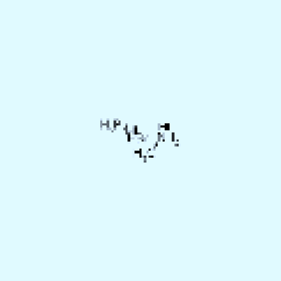 Br.CN.I.I.[PbH2]